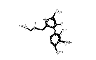 CCOC(=O)c1[nH]c(CNCC(=O)O)c(-c2ccc(OC)c(OC)c2OC)c1Cl